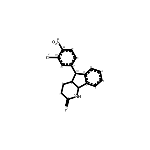 O=C1CCC2C(N1)c1ccccc1C2c1ccc([N+](=O)[O-])c(Cl)c1